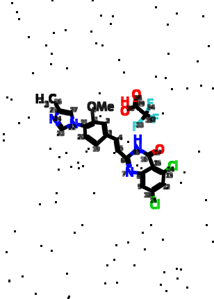 COc1cc(C=Cc2nc3cc(Cl)cc(Cl)c3c(=O)[nH]2)ccc1-n1cnc(C)c1.O=C(O)C(F)(F)F